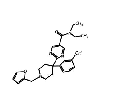 CCN(CC)C(=O)c1cnc(C2(c3cccc(O)c3)CCN(Cc3ccco3)CC2)nc1